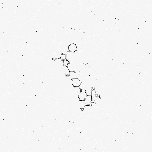 Cc1nn(C2CCCCC2)c2sc(C(=O)N[C@H]3CC[C@H](N4CCN(C(=O)O)C(C(C)(C)C)C4)CC3)cc12